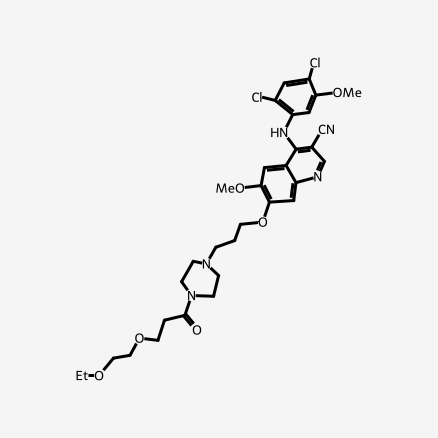 CCOCCOCCC(=O)N1CCN(CCCOc2cc3ncc(C#N)c(Nc4cc(OC)c(Cl)cc4Cl)c3cc2OC)CC1